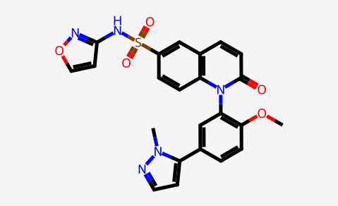 COc1ccc(-c2ccnn2C)cc1-n1c(=O)ccc2cc(S(=O)(=O)Nc3ccon3)ccc21